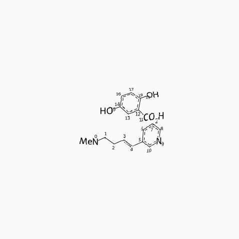 CNCCC=Cc1cccnc1.O=C(O)c1cc(O)ccc1O